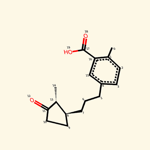 Cc1ccc(CCC[C@H]2CCC(=O)[C@@H]2C)cc1C(=O)O